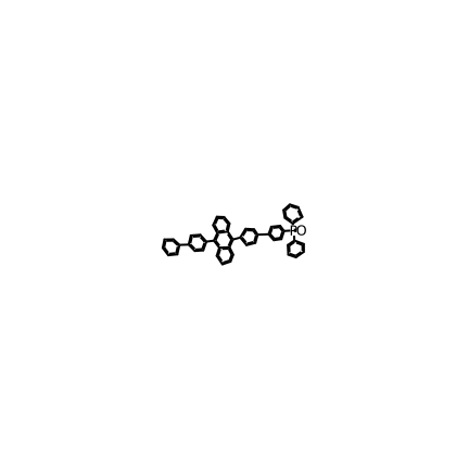 O=P(c1ccccc1)(c1ccccc1)c1ccc(-c2ccc(-c3c4ccccc4c(-c4ccc(-c5ccccc5)cc4)c4ccccc34)cc2)cc1